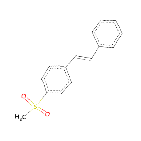 CS(=O)(=O)c1ccc(C=Cc2ccccc2)cc1